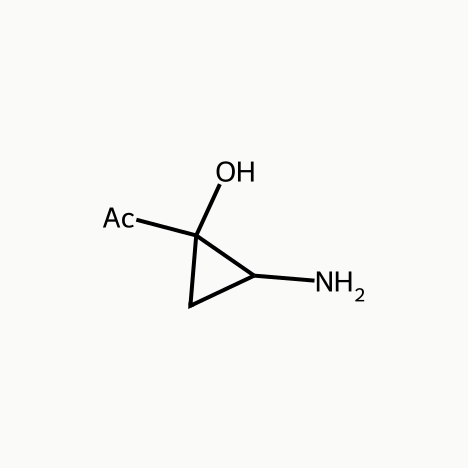 CC(=O)C1(O)CC1N